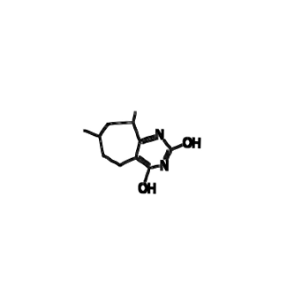 CC1CCc2c(O)nc(O)nc2C(C)C1